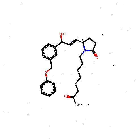 COC(=O)CCCCCCN1C(=O)CC[C@@H]1/C=C/C(O)c1cccc(COc2ccccc2)c1